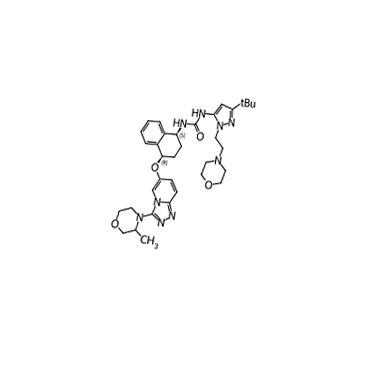 CC1COCCN1c1nnc2ccc(O[C@@H]3CC[C@H](NC(=O)Nc4cc(C(C)(C)C)nn4CCN4CCOCC4)c4ccccc43)cn12